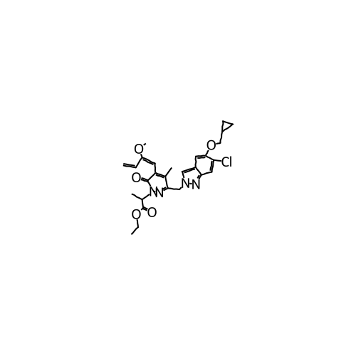 C=C/C(=C\c1c(C)c(Cn2cc3cc(OCC4CC4)c(Cl)cc3n2)nn(C(C)C(=O)OCC)c1=O)OC